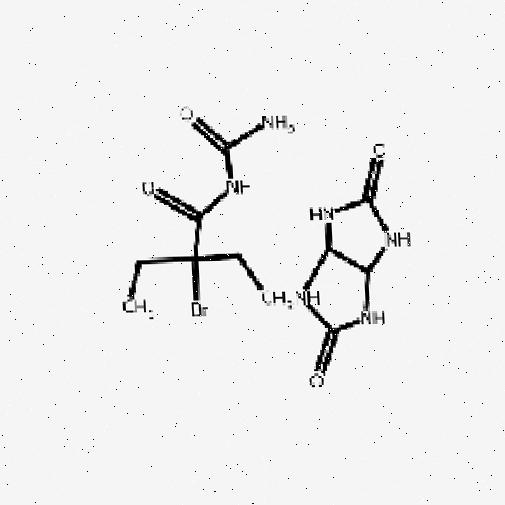 CCC(Br)(CC)C(=O)NC(N)=O.O=C1NC2NC(=O)NC2N1